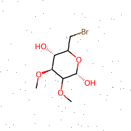 COC1[C@@H](OC)[C@H](O)C(CBr)O[C@@H]1O